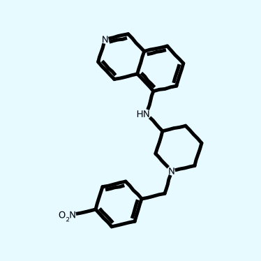 O=[N+]([O-])c1ccc(CN2CCCC(Nc3cccc4cnccc34)C2)cc1